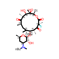 CCCCN(C)[C@H]1C[C@@H](C)O[C@@H](O[C@@H]2[C@@H](C)C(=O)[C@](C)(F)C(=O)O[C@H](CC)[C@@](C)(O)[C@H](O)[C@@H](C)C(=O)[C@H](C)C[C@@]2(C)OC)[C@@H]1O